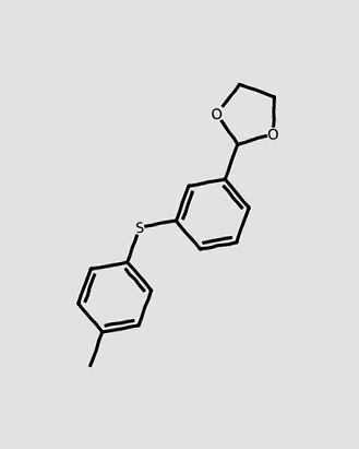 Cc1ccc(Sc2cccc(C3OCCO3)c2)cc1